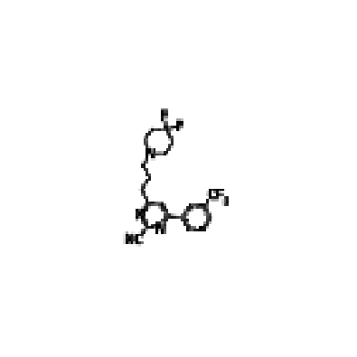 N#Cc1nc(CCCN2CCC(F)(F)CC2)cc(-c2cccc(C(F)(F)F)c2)n1